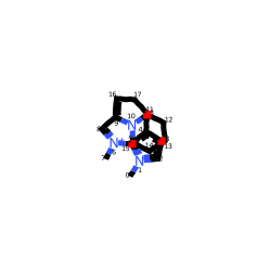 Cn1ccc2c1/[N+](C)=C\C(N1CCCCC1)=C\CC2